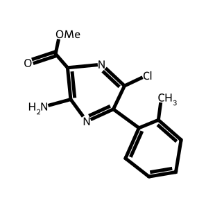 COC(=O)c1nc(Cl)c(-c2ccccc2C)nc1N